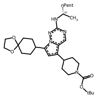 CCCCC[C@H](C)Nc1ncc2c(C3CCN(C(=O)OC(C)(C)C)CC3)cc(C3CCC4(CC3)OCCO4)n2n1